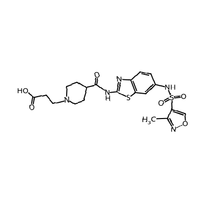 Cc1nocc1S(=O)(=O)Nc1ccc2nc(NC(=O)C3CCN(CCC(=O)O)CC3)sc2c1